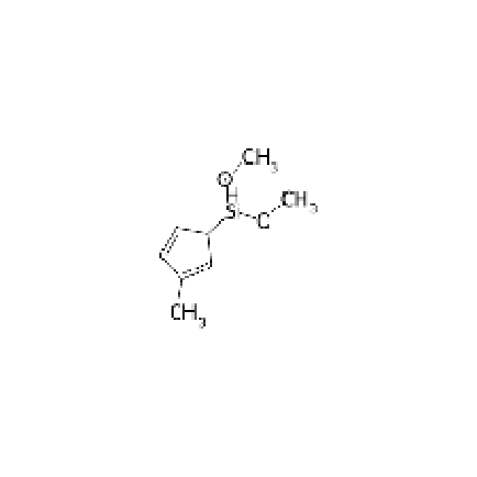 CO[SiH](OC)C1C=CC(C)=C1